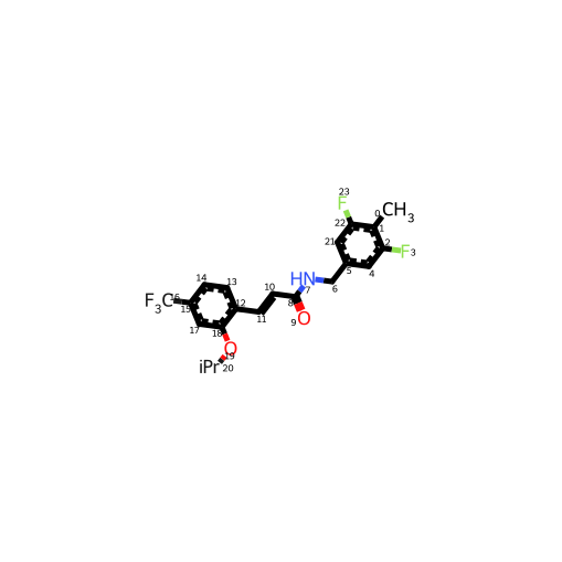 Cc1c(F)cc(CNC(=O)/C=C/c2ccc(C(F)(F)F)cc2OC(C)C)cc1F